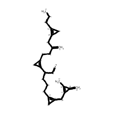 C=C(CCC1=C(C(CI)CCCC2=C(CC3=C(C)C3=C)C2)C1)CC1=C(CCC)C1